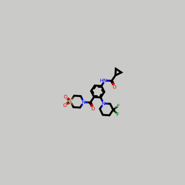 O=C(Nc1ccc(C(=O)N2CCS(=O)(=O)CC2)c(N2CCCC(F)(F)C2)c1)C1CC1